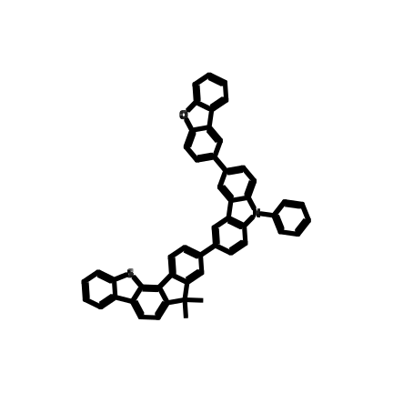 CC1(C)c2cc(-c3ccc4c(c3)c3cc(-c5ccc6oc7ccccc7c6c5)ccc3n4-c3ccccc3)ccc2-c2c1ccc1c2sc2ccccc21